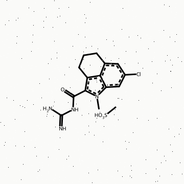 CS(=O)(=O)O.Cn1c(C(=O)NC(=N)N)c2c3c(cc(Cl)cc31)CCC2